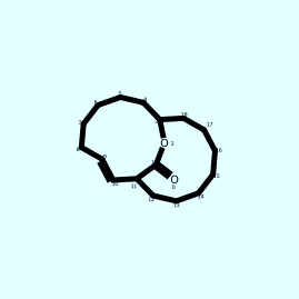 O=C1OC2CCCCC/C=C/C1CCCCCCC2